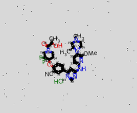 COc1nc(Nc2cc(-c3ccc(OC4CCN(C(=O)C(C)O)CC4(F)F)c(C#N)c3)ncn2)ccc1N1CCN(C)C[C@@H]1C.Cl